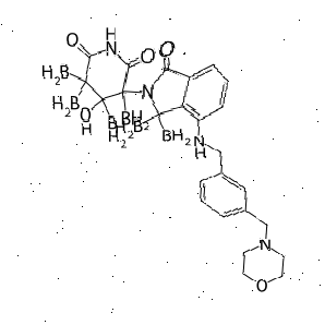 BC1(B)c2c(NCc3cccc(CN4CCOCC4)c3)cccc2C(=O)N1C1(B)C(=O)NC(=O)C(B)(B)C1(B)O